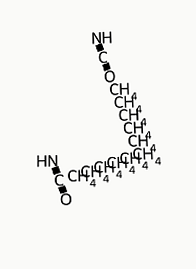 C.C.C.C.C.C.C.C.C.C.C.N=C=O.N=C=O